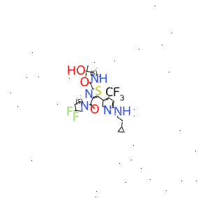 C[C@H](NC(=O)c1nc(C(=O)N2CC(F)(F)C[C@@H]2C)c(-c2cnc(NCCC3CC3)cc2C(F)(F)F)s1)C(C)(C)O